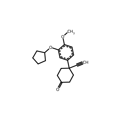 C#CC1(c2ccc(OC)c(OC3CCCC3)c2)CCC(=O)CC1